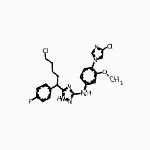 COc1cc(Nc2n[nH]c(C(CCCCCl)c3ccc(F)cc3)n2)ccc1-n1cnc(Cl)c1